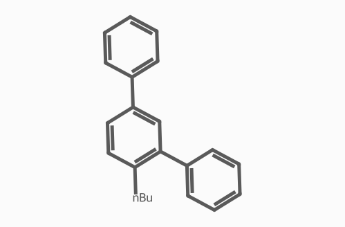 CCCCc1ccc(-c2ccccc2)cc1-c1ccccc1